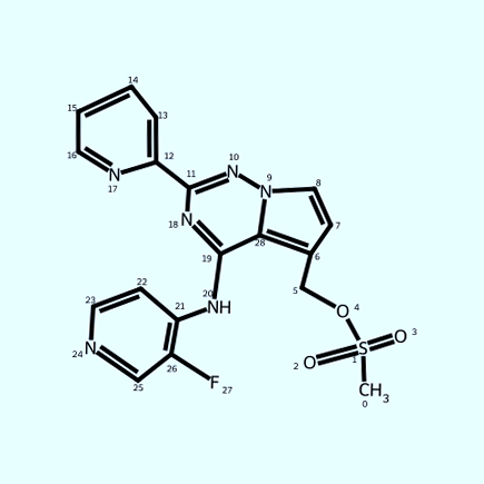 CS(=O)(=O)OCc1ccn2nc(-c3ccccn3)nc(Nc3ccncc3F)c12